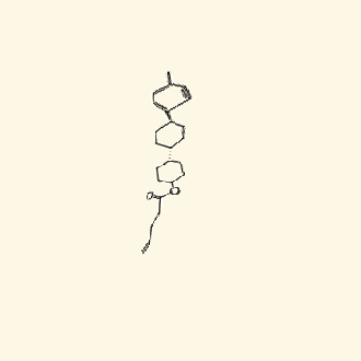 C=CCCC(=O)OC1CCC([C@H]2CC[C@H](c3ccc(C)cc3)CC2)CC1